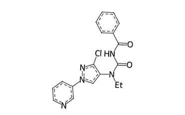 CCN(C(=O)NC(=O)c1ccccc1)c1cn(-c2cccnc2)nc1Cl